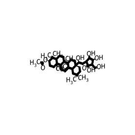 CC(=O)O[C@H]1CC[C@@]2(C)C(CC[C@]3(C)C2CC=C2C4CC(C)(C)CC[C@]4([C@H](O)[C@H]4OC5(O)C(CO)[C@H](O)C(O)C45)CC[C@]23C)C1(C)C